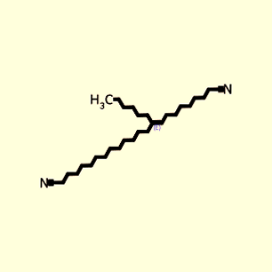 CCCCCC/C(=C\CCCCCCCC#N)CCCCCCCCCCCCCC#N